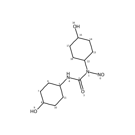 O=NN(C(=O)NC1CCC(O)CC1)C1CCC(O)CC1